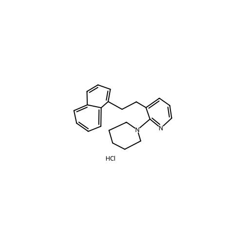 Cl.c1cnc(N2CCCCC2)c(CCc2cccc3ccccc23)c1